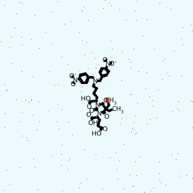 CCC1(CC)C(=O)N(C(CCCCN(Cc2ccc([N+](=O)[O-])cc2)Cc2ccc([N+](=O)[O-])cc2)C(=O)O)C(=O)N(C(CCC(=O)O)C(=O)O)C1=O